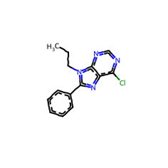 CCCn1c(-c2ccccc2)nc2c(Cl)ncnc21